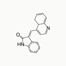 O=C1Nc2ccccc2/C1=C\C1=CC=NC2=CC=CCC12